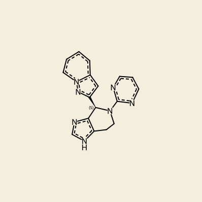 c1cnc(N2CCc3[nH]cnc3[C@H]2c2cc3ccccn3n2)nc1